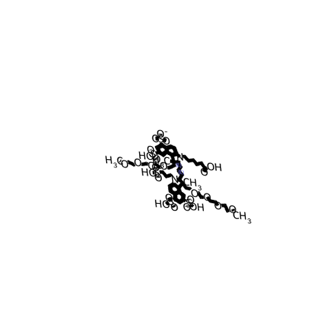 COCCOCCOCCOCCC1(C)C(/C=C/C=C2/N(CCCCCC(=O)O)c3ccc4c(S(=O)(=O)[O-])cc(S(=O)(=O)O)cc4c3C2(C)CCOCCOCCOCCOC)=[N+](CCCS(=O)(=O)O)c2ccc3c(S(=O)(=O)O)cc(S(=O)(=O)O)cc3c21